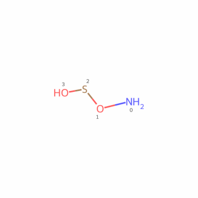 NOSO